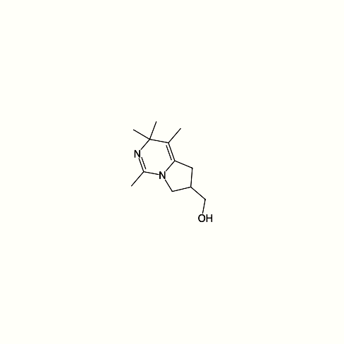 CC1=NC(C)(C)C(C)=C2CC(CO)CN12